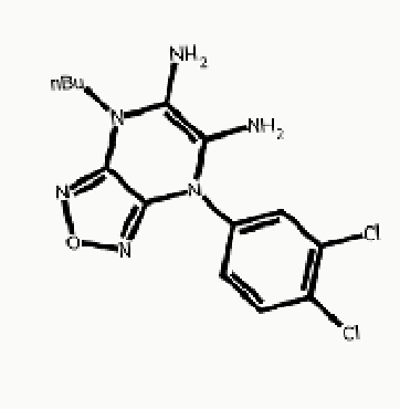 CCCCN1C(N)=C(N)N(c2ccc(Cl)c(Cl)c2)c2nonc21